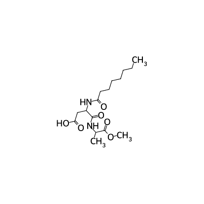 CCCCCCCC(=O)NC(CC(=O)O)C(=O)NC(C)C(=O)OC